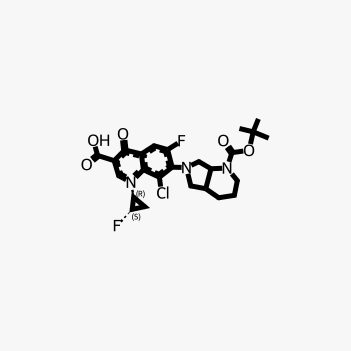 CC(C)(C)OC(=O)N1CCCC2CN(c3c(F)cc4c(=O)c(C(=O)O)cn([C@@H]5C[C@@H]5F)c4c3Cl)CC21